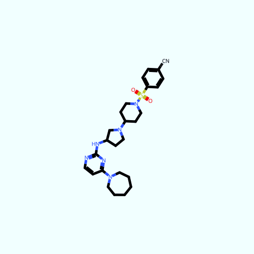 N#Cc1ccc(S(=O)(=O)N2CCC(N3CCC(Nc4nccc(N5CCCCCC5)n4)C3)CC2)cc1